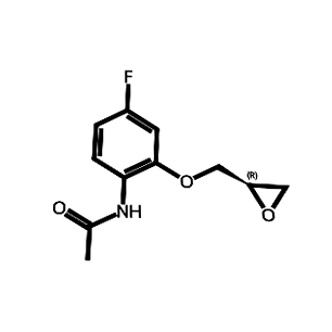 CC(=O)Nc1ccc(F)cc1OC[C@H]1CO1